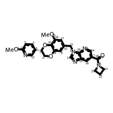 COc1ccc([C@H]2COc3cc(Cn4cnc5cc(C(=O)N6CCC6)cnc54)cc(OC)c3O2)cn1